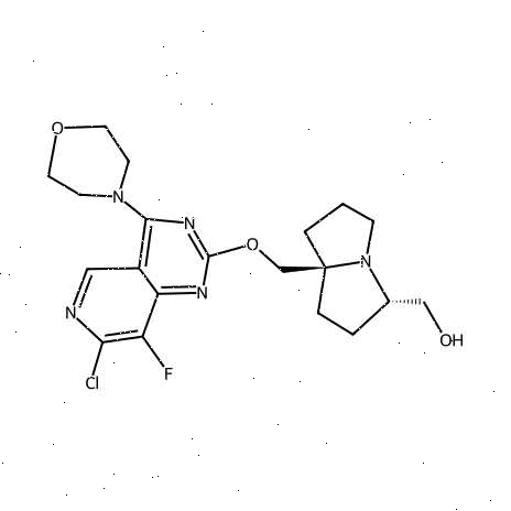 OC[C@@H]1CC[C@]2(COc3nc(N4CCOCC4)c4cnc(Cl)c(F)c4n3)CCCN12